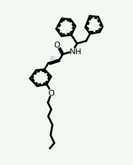 CCCCCCCOc1cccc(/C=C/C(=O)NC(Cc2ccccc2)c2ccccc2)c1